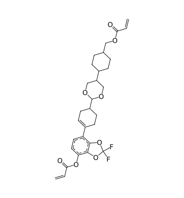 C=CC(=O)OCC1CCC(C2COC(C3CC=C(c4ccc(OC(=O)C=C)c5c4OC(F)(F)O5)CC3)OC2)CC1